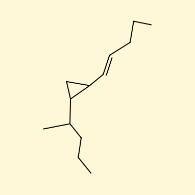 CCC/C=C/C1CC1C(C)CCC